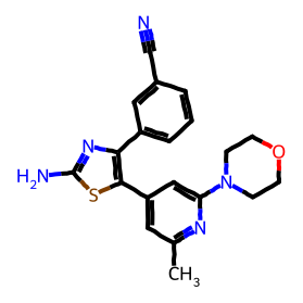 Cc1cc(-c2sc(N)nc2-c2cccc(C#N)c2)cc(N2CCOCC2)n1